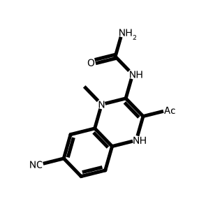 CC(=O)C1=C(NC(N)=O)N(C)c2cc(C#N)ccc2N1